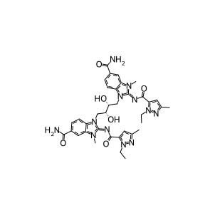 CCn1nc(C)cc1C(=O)/N=c1\n(C)c2cc(C(N)=O)ccc2n1C[C@@H](O)[C@H](O)Cn1/c(=N/C(=O)c2cc(C)nn2CC)n(C)c2cc(C(N)=O)ccc21